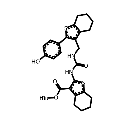 CC(C)(C)OC(=O)c1c(NC(=O)NCc2c(-c3ccc(O)cc3)sc3c2CCCC3)sc2c1CCCC2